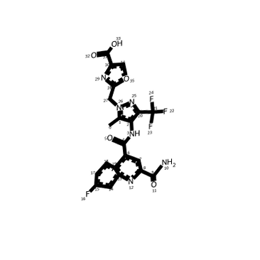 Cc1c(NC(=O)c2cc(C(N)=O)nc3cc(F)ccc23)c(C(F)(F)F)nn1Cc1nc(C(=O)O)co1